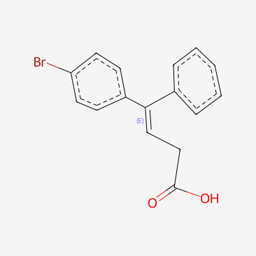 O=C(O)C/C=C(\c1ccccc1)c1ccc(Br)cc1